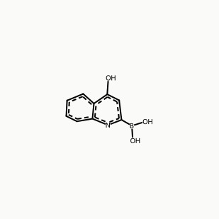 OB(O)c1cc(O)c2ccccc2n1